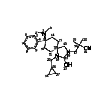 CN(C)[C@]1(c2ccccc2)CC[C@]2(CC1)CN(CC(C)(C)C#N)C(O)N2CC1CC1